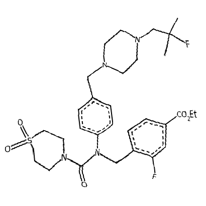 CCOC(=O)c1ccc(CN(C(=O)N2CCS(=O)(=O)CC2)c2ccc(CN3CCN(CC(C)(C)F)CC3)cc2)c(F)c1